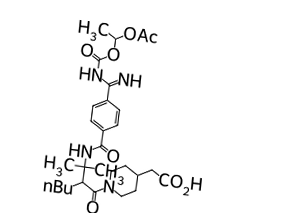 CCCCC(C(=O)N1CCC(CC(=O)O)CC1)C(C)(C)NC(=O)c1ccc(C(=N)NC(=O)OC(C)OC(C)=O)cc1